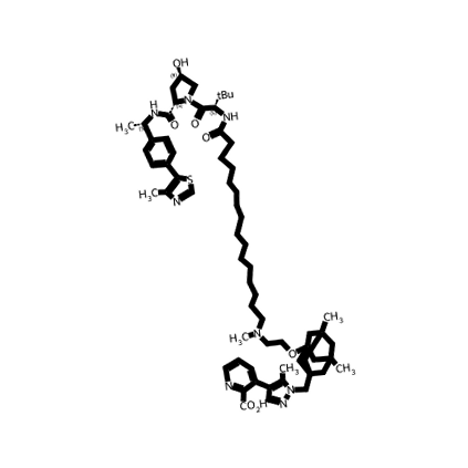 Cc1ncsc1-c1ccc([C@H](C)NC(=O)[C@@H]2C[C@@H](O)CN2C(=O)[C@@H](NC(=O)CCCCCCCCCCCCCCCN(C)CCOC23CC4(C)CC(C)(CC(Cn5ncc(-c6cccnc6C(=O)O)c5C)(C4)C2)C3)C(C)(C)C)cc1